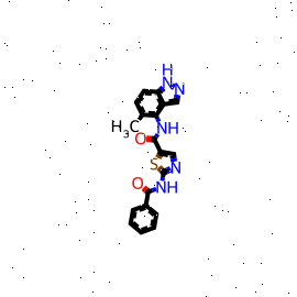 Cc1ccc2[nH]ncc2c1NC(=O)c1cnc(NC(=O)c2ccccc2)s1